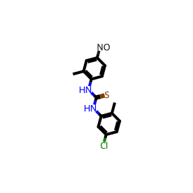 Cc1cc(N=O)ccc1NC(=S)Nc1cc(Cl)ccc1C